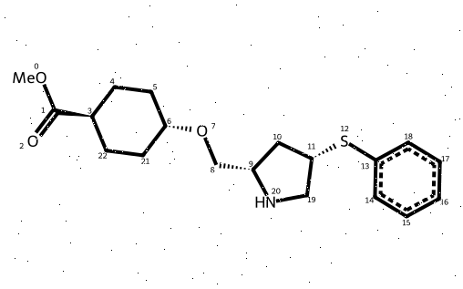 COC(=O)[C@H]1CC[C@H](OC[C@@H]2C[C@H](Sc3ccccc3)CN2)CC1